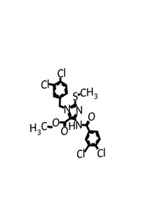 CCOC(=O)c1c(NC(=O)c2ccc(Cl)c(Cl)c2)nc(SC)n1Cc1ccc(Cl)c(Cl)c1